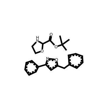 CC(C)(C)OC(=O)C1NCCO1.c1ccc(Cc2cc(-c3ccccc3)no2)cc1